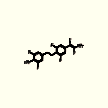 CCCC(F)=C(F)c1cc(F)c(CCc2cc(F)c(CCC)c(F)c2)c(F)c1